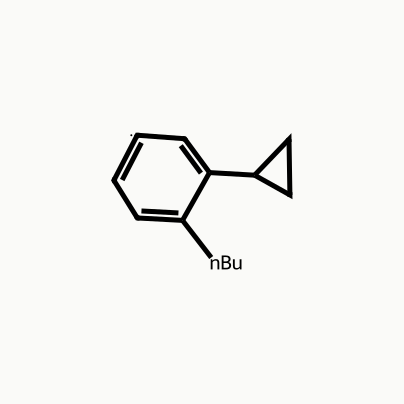 CCCCc1cc[c]cc1C1CC1